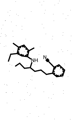 CCCC(CCCc1ccccc1C#N)Nc1cc(CC)c(C)cc1C